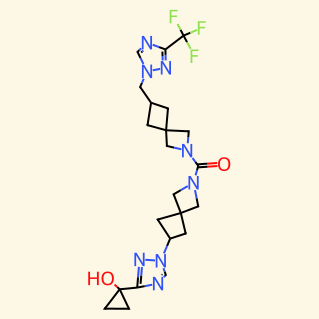 O=C(N1CC2(CC(Cn3cnc(C(F)(F)F)n3)C2)C1)N1CC2(CC(n3cnc(C4(O)CC4)n3)C2)C1